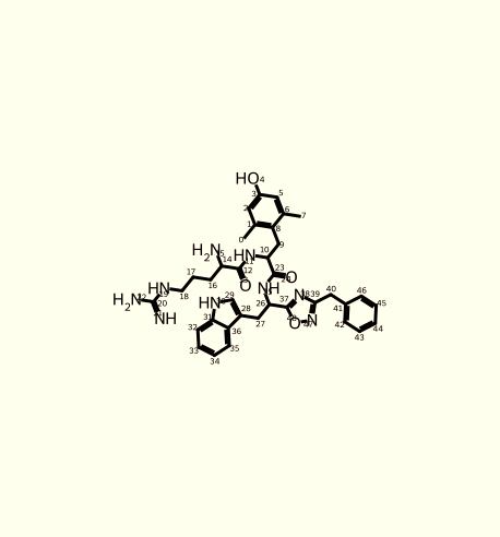 Cc1cc(O)cc(C)c1CC(NC(=O)C(N)CCCNC(=N)N)C(=O)NC(Cc1c[nH]c2ccccc12)c1nc(Cc2ccccc2)no1